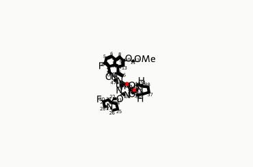 C#Cc1c(F)ccc2cc(OCOC)cc(-c3cn(-c4nc(OC[C@@]56CCCN5C[C@H](F)C6)nc(N5C[C@H]6CC[C@@H](C5)N6C(=O)OC(C)(C)C)n4)cn3)c12